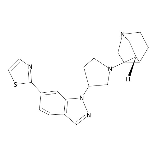 c1csc(-c2ccc3cnn(C4CCN([C@@H]5CN6CCC5CC6)C4)c3c2)n1